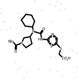 CC(C)(C)C(=O)N1CCC(N(C(=O)Nc2ncc(SCC(=O)O)s2)C2CCCCC2)C1